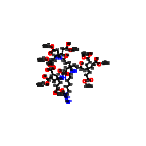 CC(C)(C)OC(=O)CCC(CCC(=O)OC(C)(C)C)(CCC(=O)OC(C)(C)C)CC(=O)CCC(CCC(=O)NC(CCC(=O)OC(C)(C)C)(CCC(=O)OC(C)(C)C)CCC(=O)OC(C)(C)C)(CCC(=O)NC(CCC(=O)OC(C)(C)C)(CCC(=O)OC(C)(C)C)CC(=O)OC(C)(C)C)NC(=O)CCCCCN=[N+]=[N-]